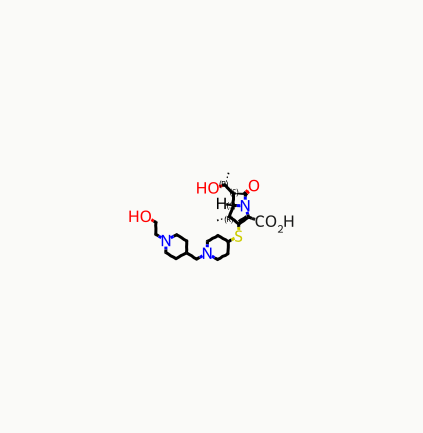 C[C@@H](O)[C@H]1C(=O)N2C(C(=O)O)=C(SC3CCN(CC4CCN(CCO)CC4)CC3)[C@H](C)[C@H]12